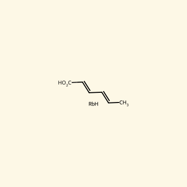 CC=CC=CC(=O)O.[RbH]